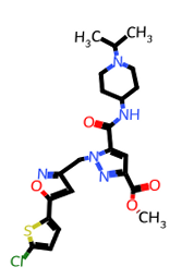 COC(=O)c1cc(C(=O)NC2CCN(C(C)C)CC2)n(Cc2cc(-c3ccc(Cl)s3)on2)n1